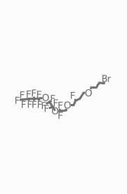 FC(CCOCCCCBr)COCC(F)(F)OC(F)(F)C(F)(F)OC(F)(F)C(F)(F)C(F)(F)C(F)(F)F